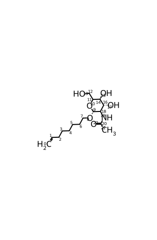 C=CCCCCCCO[C@@H]1OC(CO)[C@@H](O)[C@H](O)C1NC(C)=O